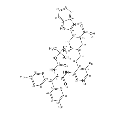 CC(C)(C)OC(=O)N[C@H](C(=O)Nc1cncc(F)c1CCC1CN(C(=O)O)C(c2nc3ccccc3[nH]2)CO1)C(c1ccc(F)cc1)c1ccc(F)cc1